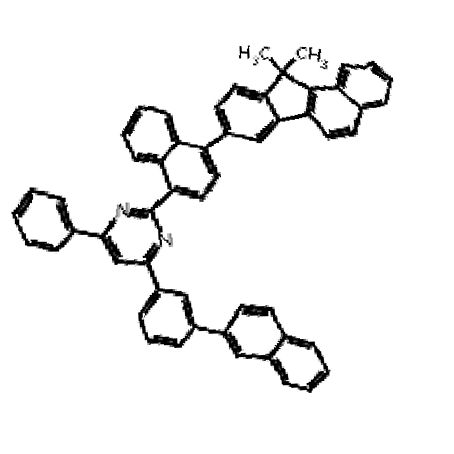 CC1(C)c2ccc(-c3ccc(-c4nc(-c5ccccc5)cc(-c5cccc(-c6ccc7ccccc7c6)c5)n4)c4ccccc34)cc2-c2ccc3ccccc3c21